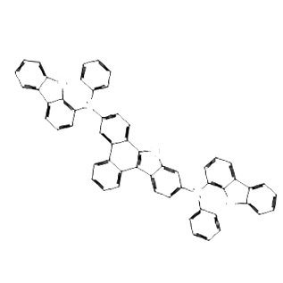 c1ccc(N(c2ccc3c(c2)oc2c4ccc(N(c5ccccc5)c5cccc6c5oc5ccccc56)cc4c4ccccc4c32)c2cccc3c2oc2ccccc23)cc1